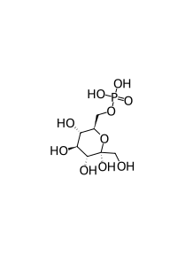 O=P(O)(O)OC[C@H]1O[C@@](O)(CO)[C@H](O)[C@@H](O)[C@@H]1O